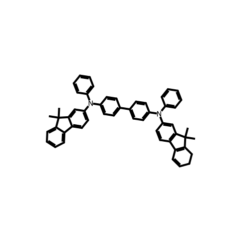 CC1(C)C2=C(C=CCC2)c2ccc(N(c3ccccc3)c3ccc(-c4ccc(N(c5ccccc5)c5ccc6c(c5)C(C)(C)c5ccccc5-6)cc4)cc3)cc21